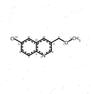 COCc1cnc2ccc(Cl)cc2c1